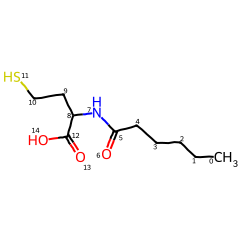 CCCCCC(=O)NC(CCS)C(=O)O